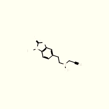 CN(CC#N)CCc1ccc2c(c1)sc(=O)n2C